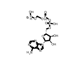 Nc1ncnc2c1ncn2[C@@H]1O[C@H](COP(=O)(O)O[PH](=O)OCO[PH](=O)O)[C@@H](O)[C@H]1O